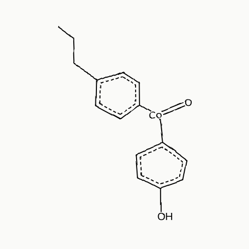 CCCc1cc[c]([Co](=[O])[c]2ccc(O)cc2)cc1